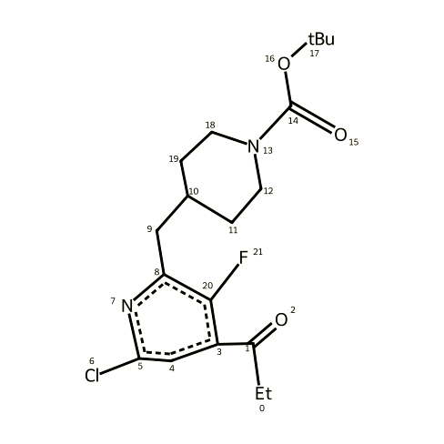 CCC(=O)c1cc(Cl)nc(CC2CCN(C(=O)OC(C)(C)C)CC2)c1F